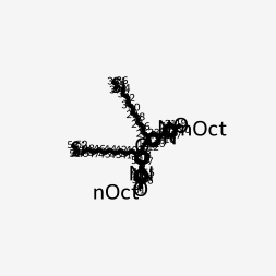 CCCCCCCCOc1cnc(-c2ccc(Oc3ccc(-c4ncc(OCCCCCCCC)cn4)cc3CCCCCCCCCC[Si](C)(C)C)c(CCCCCCCCCC[Si](C)(C)C)c2)nc1